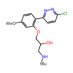 COc1ccc(-c2ccc(Cl)nn2)c(OCC(O)CNC(C)(C)C)c1